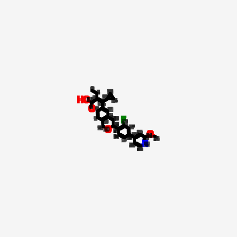 CCC(C(=O)O)=C(c1ccc2c(c1)CC(c1ccc(-c3ccnc(OC)c3)cc1F)OC2)C1CC1